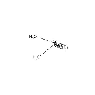 C=C(C(=O)[O][Ti](=[O])[O]C(C)C)C(C(=O)CCCCCCCCCCCCCCCCC)C(=O)CCCCCCCCCCCCCCCCC